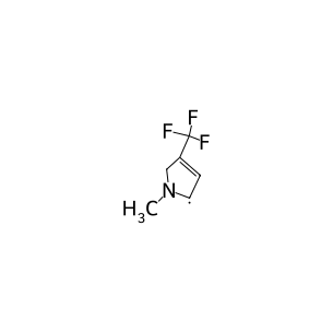 CN1[CH]C=C(C(F)(F)F)C1